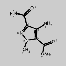 COC(=O)c1c(N)c(C(N)=O)nn1C